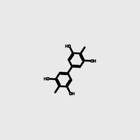 Cc1c(O)cc(-c2cc(O)c(C)c(O)c2)cc1O